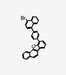 Brc1ccc(-c2ccc(-c3cccc4c3oc3c5ccccc5ccc43)cc2)c2ccccc12